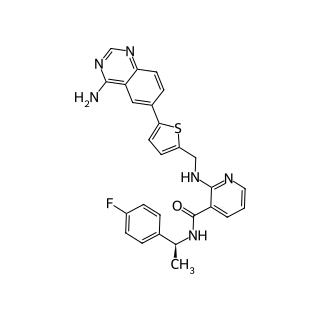 C[C@H](NC(=O)c1cccnc1NCc1ccc(-c2ccc3ncnc(N)c3c2)s1)c1ccc(F)cc1